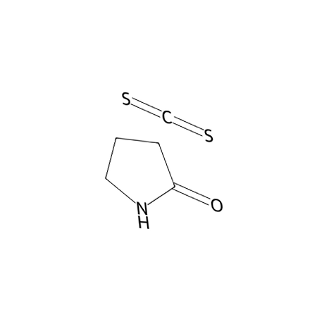 O=C1CCCN1.S=C=S